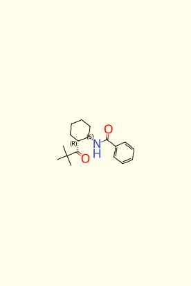 CC(C)(C)C(=O)[C@@H]1CCCC[C@@H]1NC(=O)c1ccccc1